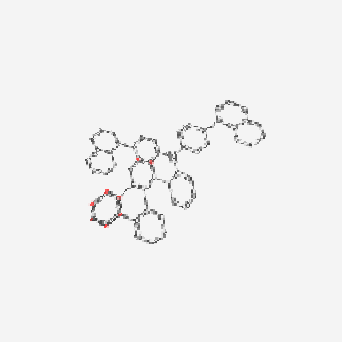 c1ccc(-c2ccccc2-c2c(-c3ccccc3)cccc2-c2ccccc2N(c2ccc(-c3cccc4ccccc34)cc2)c2ccc(-c3cccc4ccccc34)cc2)cc1